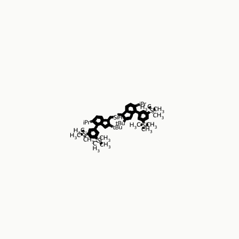 CC(C)c1ccc2c(c1-c1cc([Si](C)(C)C)cc([Si](C)(C)C)c1)C=C(C(C)(C)C)C2C[SiH2]CC1C(C(C)(C)C)=Cc2c1ccc(C(C)C)c2-c1cc([Si](C)(C)C)cc([Si](C)(C)C)c1